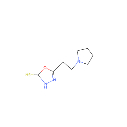 SC1NN=C(CCN2CCCC2)O1